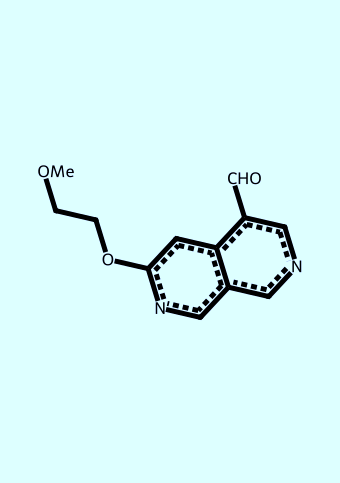 COCCOc1cc2c(C=O)cncc2cn1